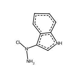 NN(Cl)c1c[nH]c2ccccc12